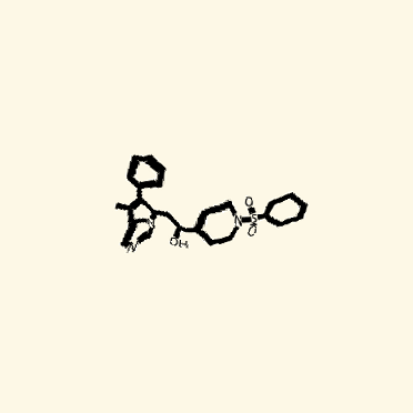 CC1=C(c2ccccc2)C(CC(O)C2CCN(S(=O)(=O)C3CCCCC3)CC2)n2cncc21